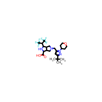 CC(C)(C)c1cc(CN2CC3C(C(=O)O)NC(C(C(F)(F)F)C(F)(F)F)C3C2)n(C2CCOCC2)n1